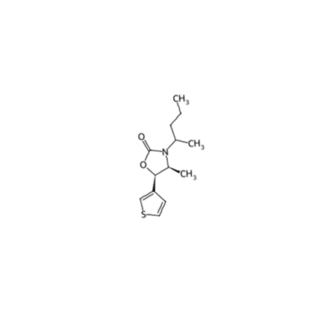 CCCC(C)N1C(=O)O[C@H](c2ccsc2)[C@@H]1C